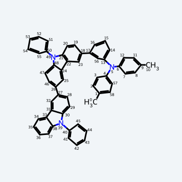 Cc1ccc(N(c2ccc(C)cc2)c2cccc(-c3ccc4c(c3)c3cc(-c5ccc6c(c5)c5ccccc5n6-c5ccccc5)ccc3n4-c3ccccc3)c2)cc1